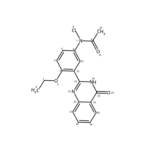 CCOc1ccc(N(Cl)C(C)=O)cc1-c1nc2ccccc2c(=O)[nH]1